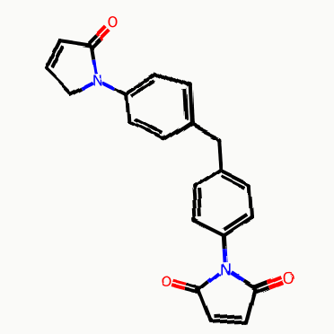 O=C1C=CCN1c1ccc(Cc2ccc(N3C(=O)C=CC3=O)cc2)cc1